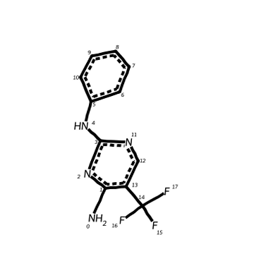 Nc1nc(Nc2ccccc2)ncc1C(F)(F)F